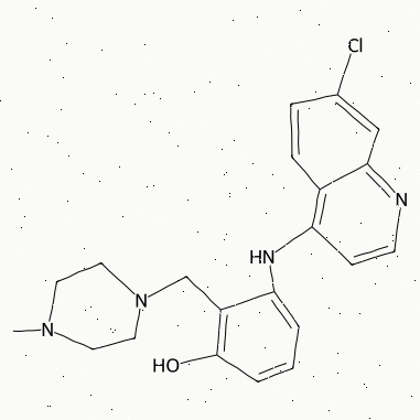 CN1CCN(Cc2c(O)cccc2Nc2ccnc3cc(Cl)ccc23)CC1